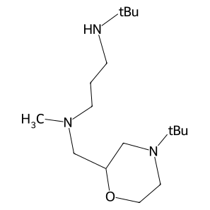 CN(CCCNC(C)(C)C)CC1CN(C(C)(C)C)CCO1